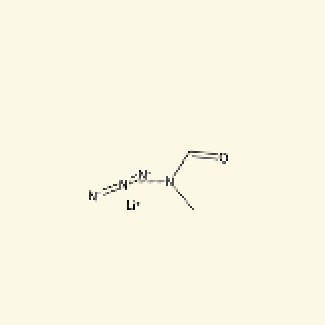 CN(C)C=O.[Li+].[N-]=[N+]=[N-]